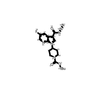 CC(C)(C)OC(=O)N1CCC(n2cc(C(=O)N=[N+]=[N-])c3cc(F)cnc32)CC1